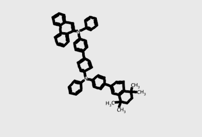 CC1(C)CCC(C)(C)c2cc(-c3ccc(N(c4ccccc4)c4ccc(-c5ccc(N(c6ccccc6)c6cc7ccccc7c7ccccc67)cc5)cc4)cc3)ccc21